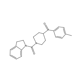 Cc1ccc(C(=O)C2CCN(C(=O)N3CCc4ccccc43)CC2)cc1